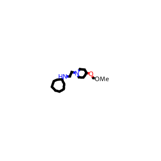 COCOC1CCN(CCNC2CCCCCCC2)CC1